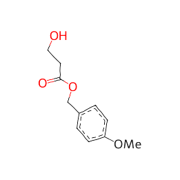 COc1ccc(COC(=O)CCO)cc1